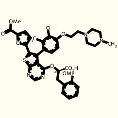 COC(=O)c1ccc(-c2sc3ncnc(O[C@H](Cc4ccccc4OC)C(=O)O)c3c2-c2ccc(OCCN3CCN(C)CC3)c(Cl)c2C)o1